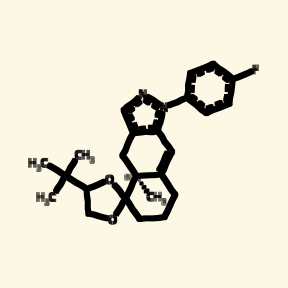 CC(C)(C)C1COC2(CCCC3=Cc4c(cnn4-c4ccc(F)cc4)C[C@@]32C)O1